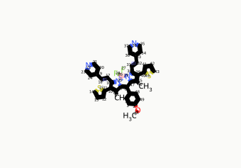 COc1ccc(C2=C3C(C)=C(c4cccs4)C(/C=C/c4ccncc4)=[N+]3[B-](F)(F)n3c(/C=C/c4ccncc4)c(-c4cccs4)c(C)c32)cc1